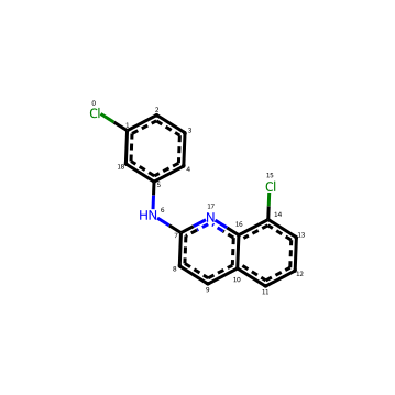 Clc1cccc(Nc2ccc3cccc(Cl)c3n2)c1